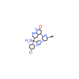 C#Cc1cccc(-c2cc(=O)n(C)c3ncc([C@](N)(c4ccc(Cl)cc4)c4cncn4C)cc23)n1